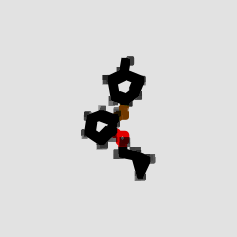 Cc1ccc(Sc2ccccc2OCC2CC2)cc1